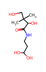 CC(C)(CO)[C@@H](O)C(=O)NCCC(O)O